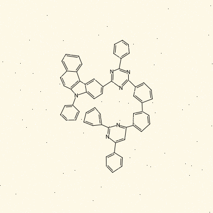 c1ccc(-c2cc(-c3cccc(-c4cccc(-c5nc(-c6ccccc6)nc(-c6ccc7c(c6)c6c8ccccc8ccc6n7-c6ccccc6)n5)c4)c3)nc(-c3ccccc3)n2)cc1